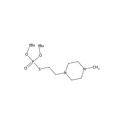 CN1CCN(CCSP(=O)(OC(C)(C)C)OC(C)(C)C)CC1